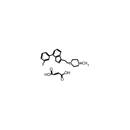 CN1CCN(CCC2=CCc3c2cccc3-c2cccc(F)c2)CC1.O=C(O)C=CC(=O)O